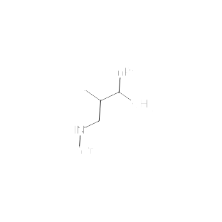 CCCNCC(I)C(C)CCC